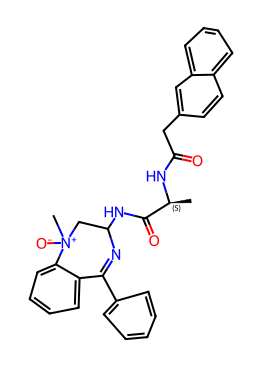 C[C@H](NC(=O)Cc1ccc2ccccc2c1)C(=O)NC1C[N+](C)([O-])c2ccccc2C(c2ccccc2)=N1